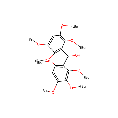 CC(C)Oc1cc(OC(C)(C)C)c(OC(C)(C)C)c(C(O)c2c(OC(C)(C)C)cc(OC(C)(C)C)c(OC(C)(C)C)c2OC(C)(C)C)c1OC(C)(C)C